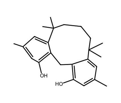 Cc1cc(O)c2c(c1)C(C)(C)CCCC(C)(C)c1cc(C)cc(O)c1C2